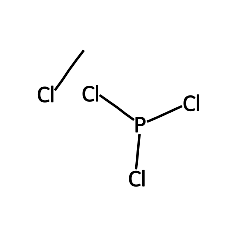 CCl.ClP(Cl)Cl